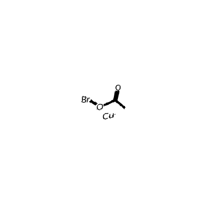 CC(=O)OBr.[Cu]